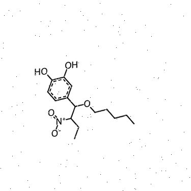 CCCCCOC(c1ccc(O)c(O)c1)C(CC)[N+](=O)[O-]